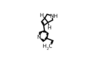 C=Cc1cncc(C2=C[C@@H]3CNC[C@H]23)c1